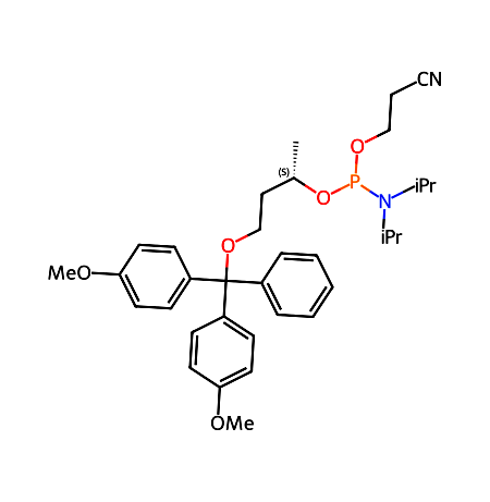 COc1ccc(C(OCC[C@H](C)OP(OCCC#N)N(C(C)C)C(C)C)(c2ccccc2)c2ccc(OC)cc2)cc1